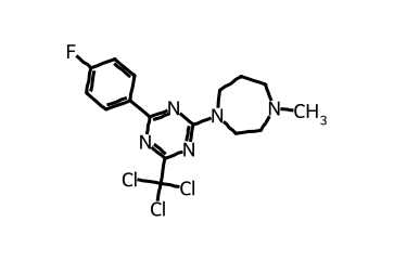 CN1CCCN(c2nc(-c3ccc(F)cc3)nc(C(Cl)(Cl)Cl)n2)CC1